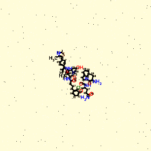 Cc1ncsc1-c1ccc(C2(NC(=O)[C@@H]3C[C@@H](O)CN3C(=O)[C@@H](NC(=O)CCCc3cccc(OC[C@H](CCC(N)=O)NC(=O)[C@@H]4Cc5cccc6c5N4C(=O)[C@@H](N)CC6)c3Cl)C(C)(C)C)CC2)cc1